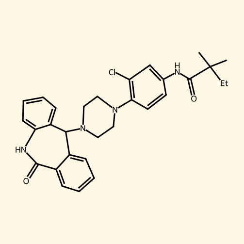 CCC(C)(C)C(=O)Nc1ccc(N2CCN(C3c4ccccc4NC(=O)c4ccccc43)CC2)c(Cl)c1